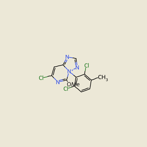 COC1=NC(Cl)=CC2=NC=N[N+]21c1c(Cl)ccc(C)c1Cl